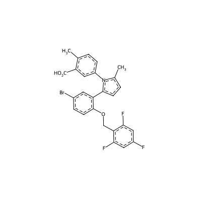 Cc1ccc(-n2c(C)ccc2-c2cc(Br)ccc2OCc2c(F)cc(F)cc2F)cc1C(=O)O